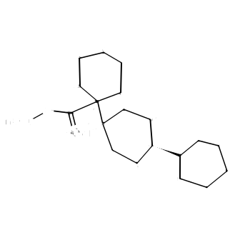 CCCCCCCCOC(=O)C1([C@]2(CCCCCCCC)CC[C@H](C3CCCCC3)CC2)CCCCC1